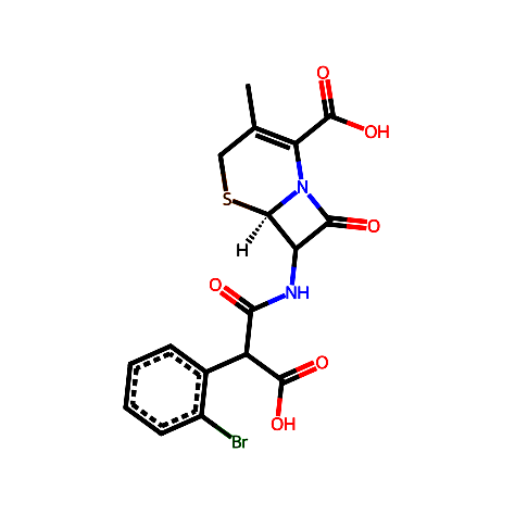 CC1=C(C(=O)O)N2C(=O)C(NC(=O)C(C(=O)O)c3ccccc3Br)[C@H]2SC1